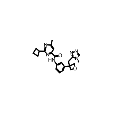 Cc1cc(C(=O)Nc2cccc(C3(Cc4nncn4C)COC3)c2)nc(C2CCC2)n1